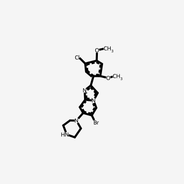 COc1cc(OC)c(-c2cn3cc(Br)c(N4CCNCC4)cc3n2)cc1Cl